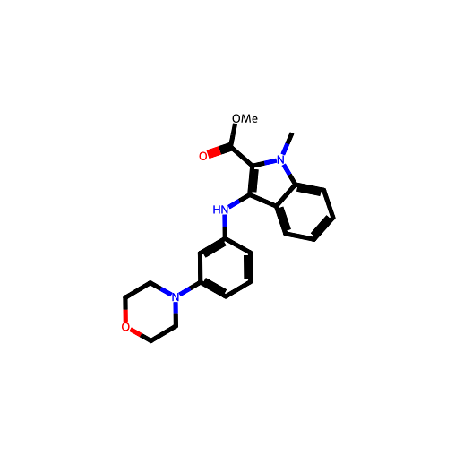 COC(=O)c1c(Nc2cccc(N3CCOCC3)c2)c2ccccc2n1C